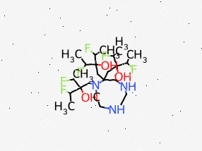 CC(F)C(O)(CN1CCNCCNCC1(CC(O)(C(C)F)C(C)F)CC(O)(C(C)F)C(C)F)C(C)F